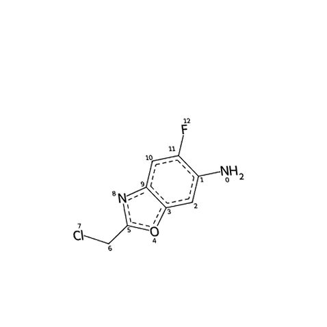 Nc1cc2oc(CCl)nc2cc1F